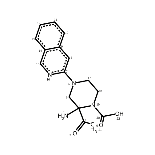 CC(=O)C1(N)CN(c2cc3ccccc3cn2)CCN1C(=O)O